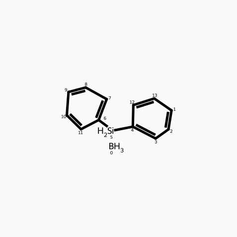 B.c1ccc([SiH2]c2ccccc2)cc1